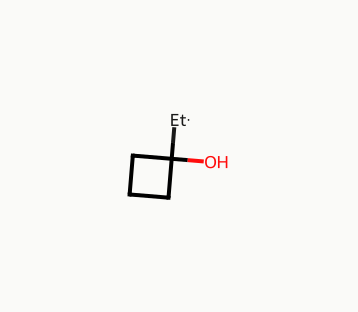 C[CH]C1(O)CCC1